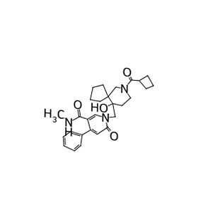 CNC(=O)c1cn(CC2(O)CCN(C(=O)C3CCC3)CC23CCCC3)c(=O)cc1-c1ccccc1